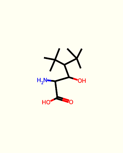 CC(C)(C)C(C(O)C(N)C(=O)O)C(C)(C)C